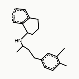 Cc1ccc(CCC(C)NC2CCCc3ccccc32)cc1C